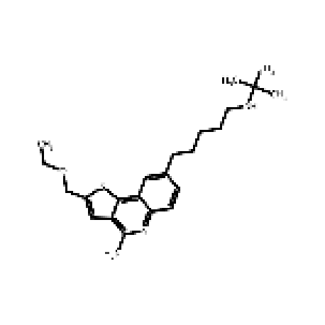 CCOCc1cc2c(N)nc3ccc(CCCCCNC(C)(C)C)cc3c2s1